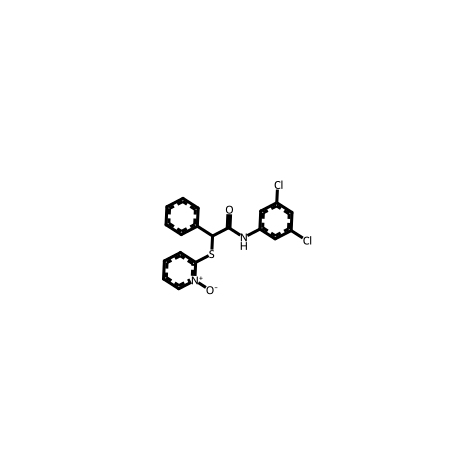 O=C(Nc1cc(Cl)cc(Cl)c1)C(Sc1cccc[n+]1[O-])c1ccccc1